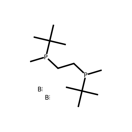 CP(CCP(C)C(C)(C)C)C(C)(C)C.[B].[B]